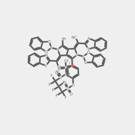 CC(C)c1c2/c(=C(\C#N)c3nc4ccccc4s3)n(B3Oc4ccccc4O3)c(-c3ccc(OS(=O)(=O)C(F)(F)C(F)(F)C(F)(F)S(=O)(=O)NS(=O)(=O)C(F)(F)F)cc3)c2/c(=C(\C#N)c2nc3ccccc3s2)n1B1Oc2ccccc2O1